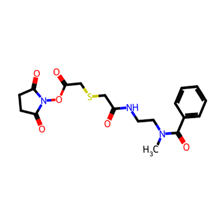 CN(CCNC(=O)CSCC(=O)ON1C(=O)CCC1=O)C(=O)c1ccccc1